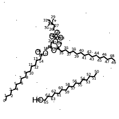 CCCCCCCCCCCCCCCC(=O)OC[C@H](COP(=O)([O-])OCC[N+](C)(C)C)OC(=O)CCCCCCCCCCCCCCC.CCCCCCCCCCCCCCCCO